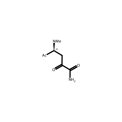 CN[C@@H](CC(=O)C(N)=O)C(C)=O